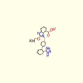 CCOc1nc2cccc(C(=O)O)c2n1Cc1ccc(-c2ccccc2-c2nnn[nH]2)cc1.[KH]